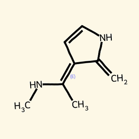 C=c1[nH]cc/c1=C(/C)NC